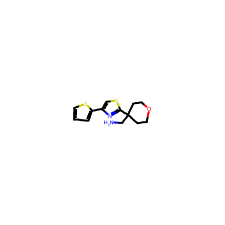 NCC1(c2nc(-c3cccs3)cs2)CCOCC1